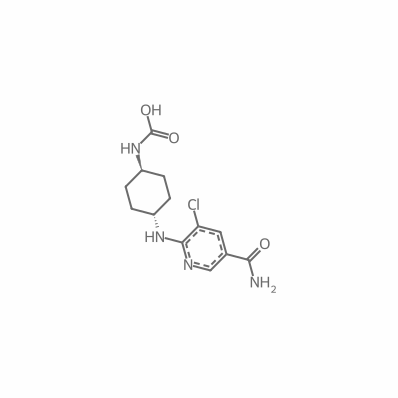 NC(=O)c1cnc(N[C@H]2CC[C@H](NC(=O)O)CC2)c(Cl)c1